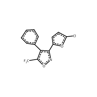 FC(F)(F)c1onc(-c2ccc(Cl)o2)c1-c1ccccc1